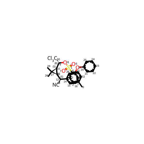 Cc1ccc(S(=O)(=O)O[C@H]([C@H]2[C@@H]([C@H](C#N)c3cccc(Oc4ccccc4)c3)C2(C)C)C(Cl)(Cl)Cl)cc1